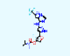 CC(C)NC(=O)O[C@@H]1CO[C@H](c2cc(Nc3nccn4nc(C(F)(F)F)cc34)n[nH]2)[C@H]1F